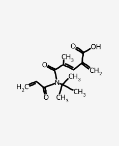 C=CC(=O)N(C(=O)C(C)=CC(=C)C(=O)O)C(C)(C)C